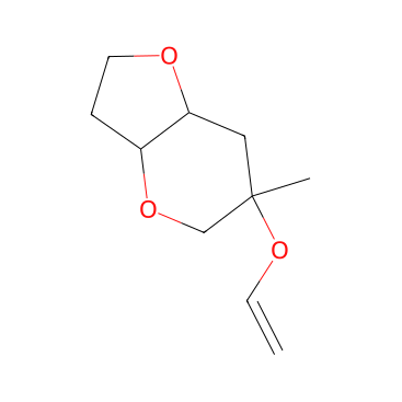 C=COC1(C)COC2CCOC2C1